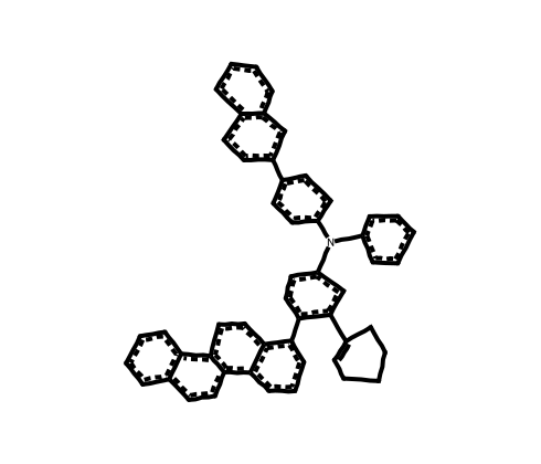 C1=C(c2cc(N(c3ccccc3)c3ccc(-c4ccc5ccccc5c4)cc3)ccc2-c2cccc3c2ccc2c4ccccc4ccc32)CCCC1